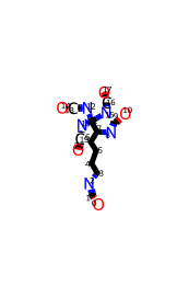 O=C=NCCCCC(N=C=O)C(N=C=O)(N=C=O)N=C=O